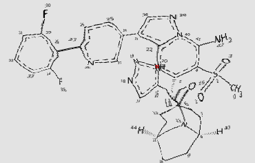 CS(=O)(=O)c1c([C@@H]2C[C@H]3CC[C@@H](C2)N3C(=O)c2cnn[nH]2)nc2c(-c3ccc(-c4c(F)cccc4F)nc3)cnn2c1N